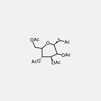 CC(=O)OCC1O[C@@H](SC(C)=O)C(OC(C)=O)[C@@H](OC(C)=O)[C@@H]1OC(C)=O